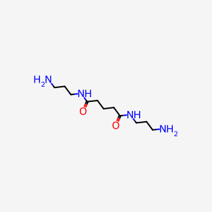 NCCCNC(=O)CCCC(=O)NCCCN